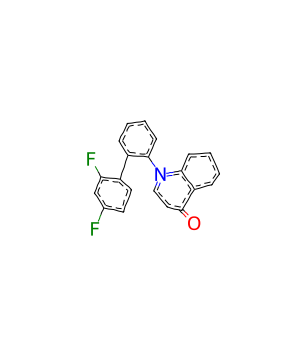 O=c1ccn(-c2ccccc2-c2ccc(F)cc2F)c2ccccc12